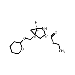 CCOC(=O)[C@@H]1C[C@@]2(COC3CCCCO3)C[C@H]2N1